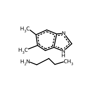 CCCCN.Cc1cc2nc[nH]c2cc1C